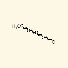 COCCOCCOCCOC[CH]CCl